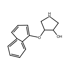 OC1CNCC1Oc1cccc2ccccc12